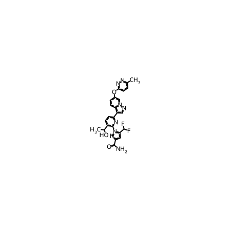 Cc1ccc(Oc2ccc3c(-c4ccc(C(C)O)c(-n5nc(C(N)=O)cc5C(F)F)n4)cnn3c2)nn1